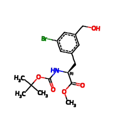 COC(=O)[C@H](Cc1cc(Br)cc(CO)c1)NC(=O)OC(C)(C)C